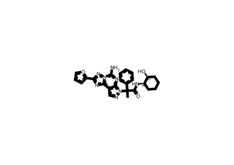 CC(C(=O)N[C@@H]1CCCC[C@@H]1O)(c1ccccc1)n1ncc2c1nc(N)n1nc(-c3ccco3)nc21